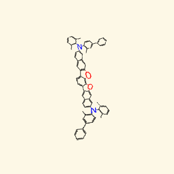 Cc1cc(-c2ccccc2)ccc1N(c1ccc2cc3c(cc2c1)oc1c3ccc2c3cc4ccc(N(c5ccc(-c6ccccc6)cc5C)c5c(C)cccc5C)cc4cc3oc21)c1c(C)cccc1C